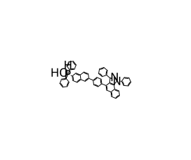 O[PH](c1ccccc1)(c1ccccc1)c1ccc2cc(-c3ccc(-c4cc5ccccc5c5c4c(-c4ccccc4)nn5-c4ccccc4)cc3)ccc2c1